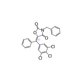 O=C1O/C(=C(\c2ccccc2)c2cc(Cl)c(Cl)c(Cl)c2)C(=O)N1Cc1ccccc1